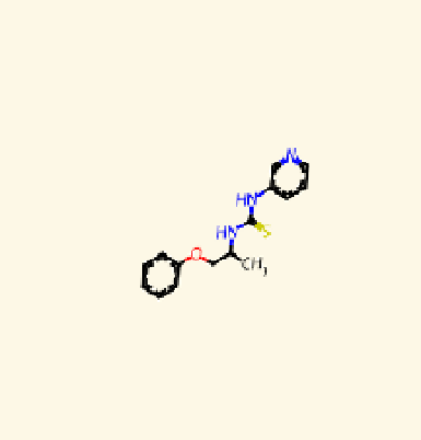 CC(COc1ccccc1)NC(=S)Nc1cccnc1